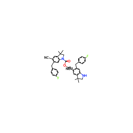 CC(C)(C)OC(=O)N1CC(C)(C)c2cc(C#N)c(Cc3ccc(F)cc3)cc21.CC1(C)CNc2cc(Cc3ccc(F)cc3)c(C#N)cc21